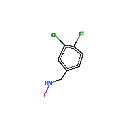 Clc1ccc(CNI)cc1Cl